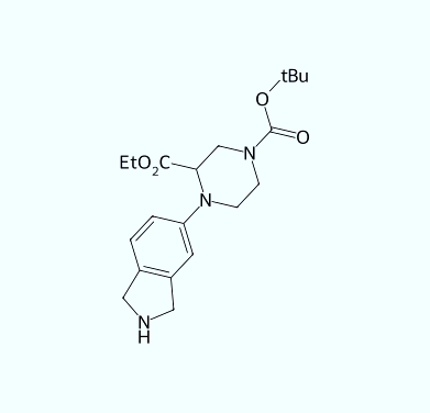 CCOC(=O)C1CN(C(=O)OC(C)(C)C)CCN1c1ccc2c(c1)CNC2